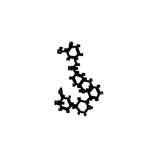 O=c1cc(N2CCOC(c3cccc4c3Oc3ccc(NCc5ccnc(Cl)c5)cc3C4)C2)cc[nH]1